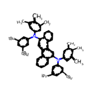 Cc1cc(N(c2cc(C(C)C)cc(C(C)(C)C)c2)c2cc3c4ccccc4c(N(c4cc(C(C)(C)C)cc(C(C)(C)C)c4)c4cc(C)c(C)c(C)c4)cc3c3ccccc23)cc(C)c1C